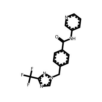 O=C(Nc1cccnc1)c1ccc(Cn2cnc(C(F)(F)F)n2)cc1